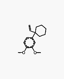 C=CC1(c2ccc(OC)c(OC)c2)CCCCC1